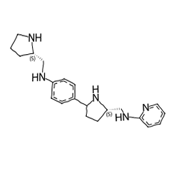 c1ccc(NC[C@@H]2CCC(c3ccc(NC[C@@H]4CCCN4)cc3)N2)nc1